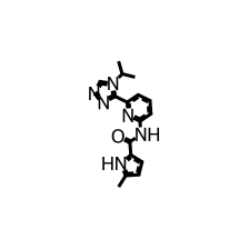 Cc1ccc(C(=O)Nc2cccc(-c3nncn3C(C)C)n2)[nH]1